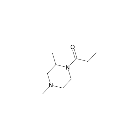 CCC(=O)N1CCN(C)CC1C